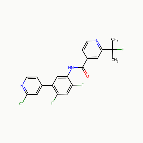 CC(C)(F)c1cc(C(=O)Nc2cc(-c3ccnc(Cl)c3)c(F)cc2F)ccn1